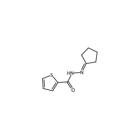 O=C(NN=C1CCCC1)c1cccs1